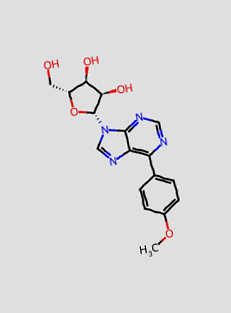 COc1ccc(-c2ncnc3c2ncn3[C@@H]2O[C@H](CO)[C@@H](O)[C@H]2O)cc1